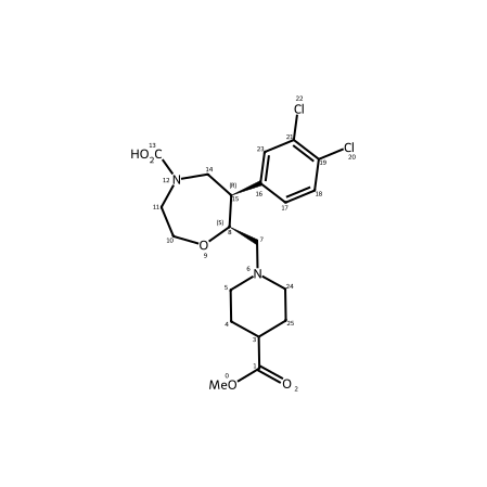 COC(=O)C1CCN(C[C@H]2OCCN(C(=O)O)C[C@H]2c2ccc(Cl)c(Cl)c2)CC1